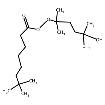 CC(C)(C)CCCCCC(=O)OOC(C)(C)CCC(C)(C)O